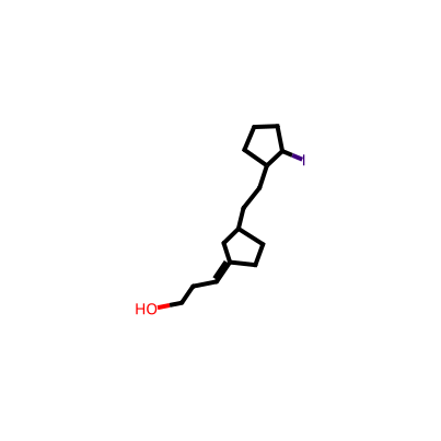 OCC/C=C1/CCC(CCC2CCCC2I)C1